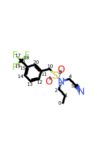 CCCN(CC#N)S(=O)(=O)Cc1cccc(C(F)(F)F)c1